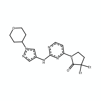 CCC1(CC)CCN(c2ccnc(Nc3cnn(C4CCOCC4)c3)n2)C1=O